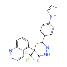 O=C1NN=C(c2ccc(N3C=CCC3)cc2)C[C@]1(c1cccc2ncccc12)C(F)(F)F